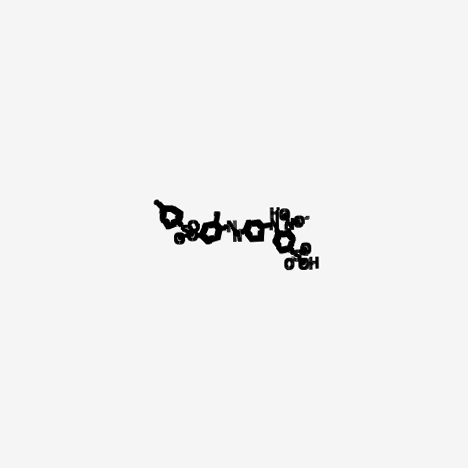 Cc1ccc(S(=O)(=O)Oc2ccc(/N=N/c3ccc(Nc4ccc(S(=O)(=O)O)cc4[N+](=O)[O-])cc3)c(C)c2)cc1